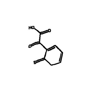 O=C(O)C(=O)C1=CC=CCC1=S